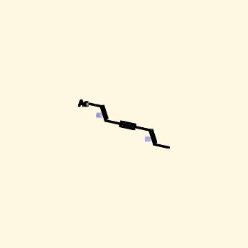 C/C=C/C#C/C=C/C(C)=O